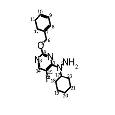 NN(c1nc(OCC2=CC=CCC2)ncc1F)C1CCCCC1